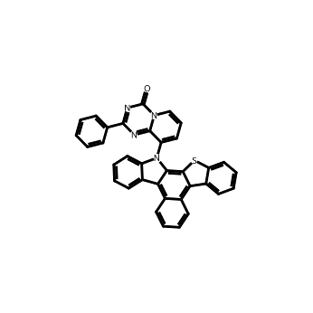 O=c1nc(-c2ccccc2)nc2c(-n3c4ccccc4c4c5ccccc5c5c6ccccc6sc5c43)cccn12